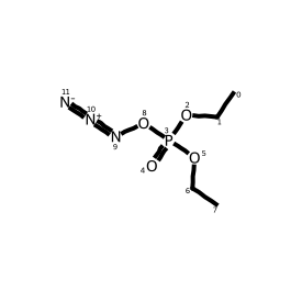 CCOP(=O)(OCC)ON=[N+]=[N-]